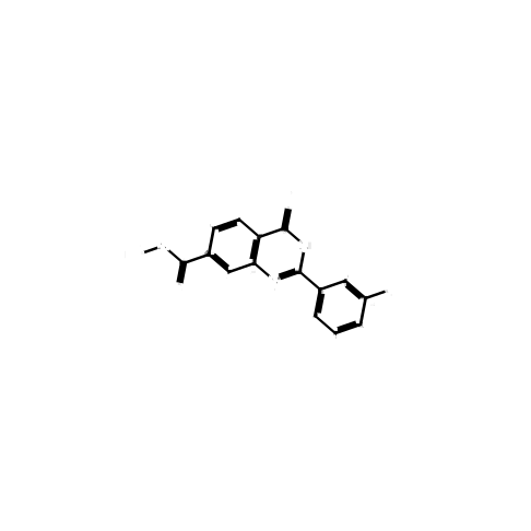 O=C(NO)c1ccc2c(=O)[nH]c(-c3cccc(C(F)(F)F)c3)nc2c1